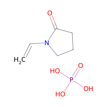 C=CN1CCCC1=O.O=P(O)(O)O